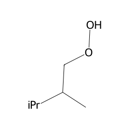 CC(C)C(C)COO